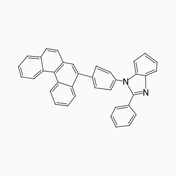 c1ccc(-c2nc3ccccc3n2-c2ccc(-c3cc4ccc5ccccc5c4c4ccccc34)cc2)cc1